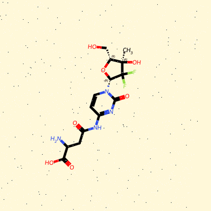 C[C@@]1(O)[C@@H](CO)O[C@@H](n2ccc(NC(=O)CC(N)C(=O)O)nc2=O)C1(F)F